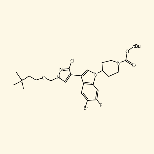 CC(C)(C)OC(=O)N1CCC(n2cc(-c3cn(COCCS(C)(C)C)nc3Cl)c3cc(Br)c(F)cc32)CC1